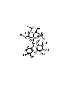 CC(=O)N[C@@H]1C(O)C[C@](OCC2O[C@@H](O[C@@H]3C(CO)OCC(O)C3O)C(O)C(O)[C@H]2O)(C(=O)O)OC1[C@H](O)[C@H](O)CO